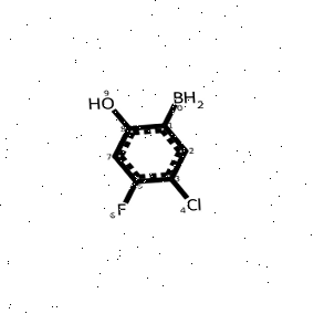 Bc1cc(Cl)c(F)cc1O